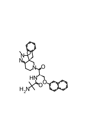 CN1N=C2CCN(C(=O)[C@@H](COc3ccc4ccccc4c3)NC(=O)C(C)(C)N)C[C@@]2(Cc2ccccc2)C1=O